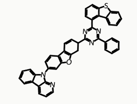 C1=CC(c2nc(-c3ccccc3)nc(-c3cccc4sc5ccccc5c34)n2)Cc2oc3cc(-n4c5ccccc5c5cccnc54)ccc3c21